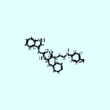 O=C(Cc1c[nH]c2ccccc12)NC(CC1CCCCC1)C(=O)NCCNc1ccc(F)cc1